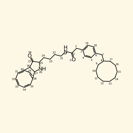 O=C(Cc1ccc(CC2CCCCCCCCC2)cc1)NCCCCC1NC2C3=CC(=C/C=C\C=C/3)\C2C1=O